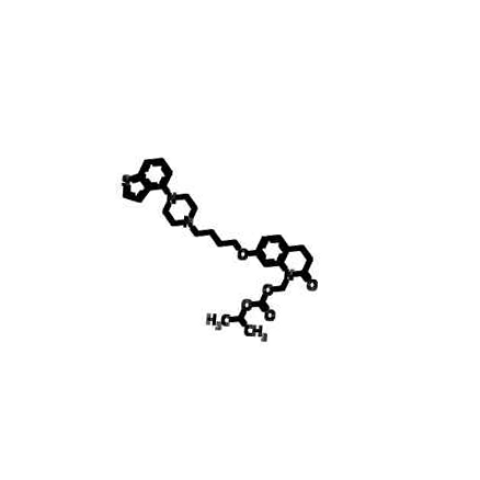 CC(C)OC(=O)OCN1C(=O)CCc2ccc(OCCCCN3CCN(c4cccc5sccc45)CC3)cc21